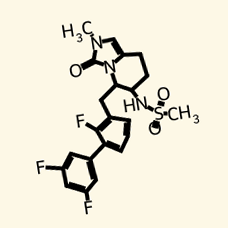 Cn1cc2n(c1=O)C(Cc1cccc(-c3cc(F)cc(F)c3)c1F)C(NS(C)(=O)=O)CC2